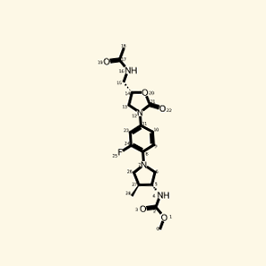 COC(=O)N[C@H]1CN(c2ccc(N3C[C@H](CNC(C)=O)OC3=O)cc2F)C[C@@H]1C